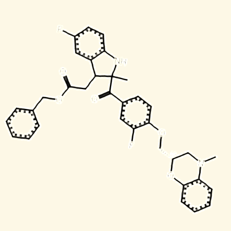 CN1C[C@@H](COc2ccc(C(=O)C3(C)Nc4ccc(F)cc4C3CC(=O)OCc3ccccc3)cc2F)Oc2ccccc21